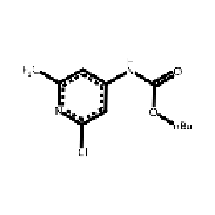 CCCCOC(=O)Nc1cc(Cl)nc(C(F)(F)F)c1